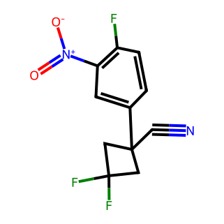 N#CC1(c2ccc(F)c([N+](=O)[O-])c2)CC(F)(F)C1